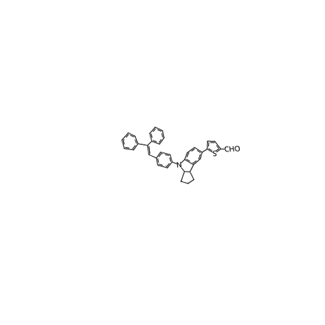 O=Cc1ccc(-c2ccc3c(c2)C2CCCC2N3c2ccc(C=C(c3ccccc3)c3ccccc3)cc2)s1